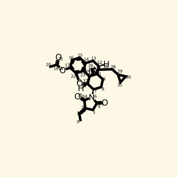 C/C=C1\CC(=O)N([C@@H]2CC[C@@]3(O)[C@H]4Cc5ccc(OC(C)=O)c6c5[C@@]3(CCN4CC3CC3)[C@H]2O6)C1=O